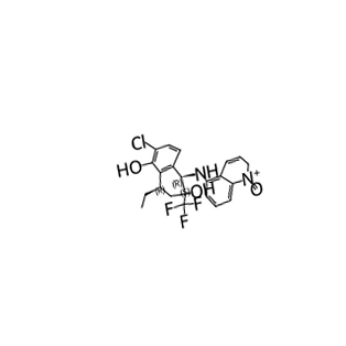 CC[C@@H]1C[C@@](O)(C(F)(F)F)[C@H](Nc2cccc3c2C=CC[N+]3=O)c2ccc(Cl)c(O)c21